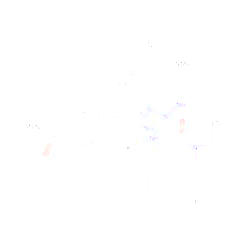 C=C(NC)c1ccc2c(c1)CCc1cc(C(=O)NC)ccc1C2(C[C@@H](Cc1ccc(C)cc1)NCC(=O)N1CCCC1C#N)/C(N)=N/N=N